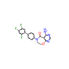 Nc1ncnc2c1C(=O)N(c1ccc(-c3cc(F)c(F)cc3F)cc1)CCO2